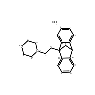 Cl.c1ccc2c(c1)C1CC2(CCN2CCOCC2)c2ccccc21